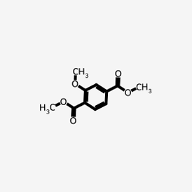 COC(=O)c1ccc(C(=O)OC)c(OC)c1